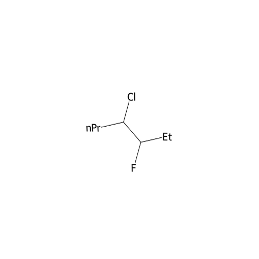 CCCC(Cl)C(F)CC